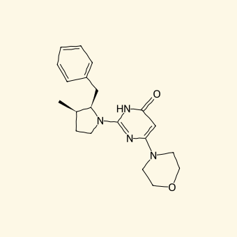 C[C@@H]1CCN(c2nc(N3CCOCC3)cc(=O)[nH]2)[C@@H]1Cc1ccccc1